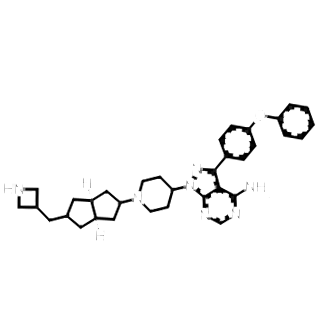 Nc1ncnc2c1c(-c1ccc(Oc3ccccc3)cc1)nn2C1CCN(C2C[C@H]3CC(CC4CNC4)C[C@H]3C2)CC1